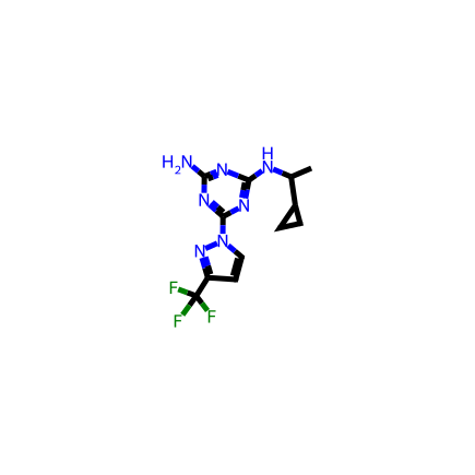 CC(Nc1nc(N)nc(-n2ccc(C(F)(F)F)n2)n1)C1CC1